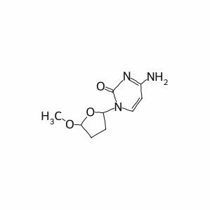 COC1CCC(n2ccc(N)nc2=O)O1